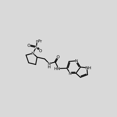 CCCS(=O)(=O)N1CCCC1CNC(=O)Nc1cnc2[nH]ccc2n1